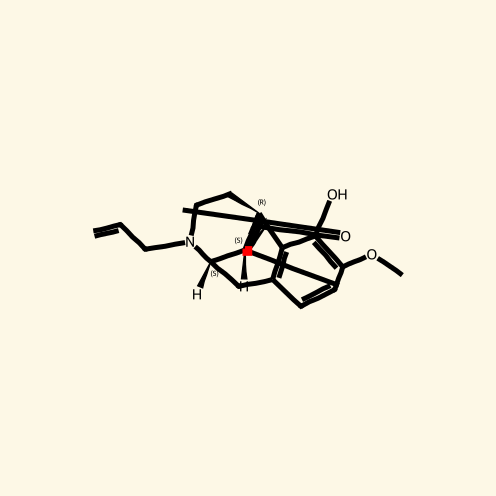 C=CCN1CC[C@@]23CC(=O)C(C)C[C@@H]2[C@@H]1Cc1ccc(OC)c(O)c13